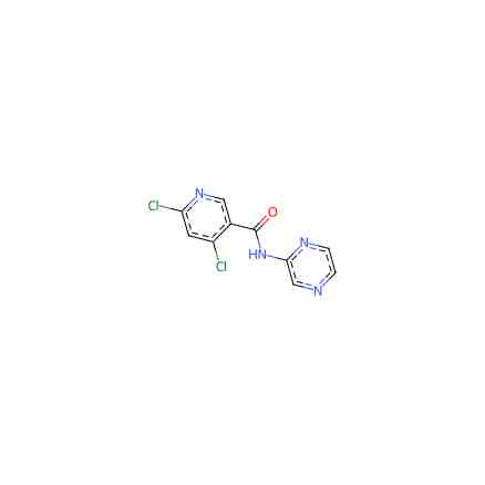 O=C(Nc1cnccn1)c1cnc(Cl)cc1Cl